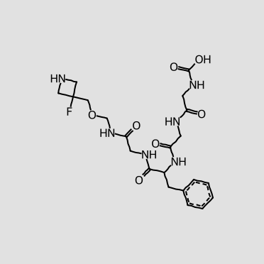 O=C(O)NCC(=O)NCC(=O)NC(Cc1ccccc1)C(=O)NCC(=O)NCOCC1(F)CNC1